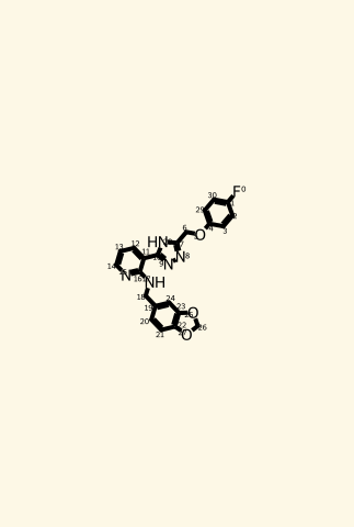 Fc1ccc(OCc2nnc(-c3cccnc3NCc3ccc4c(c3)OCO4)[nH]2)cc1